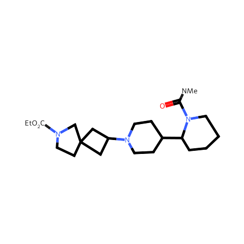 CCOC(=O)N1CCC2(CC(N3CCC(C4CCCCN4C(=O)NC)CC3)C2)C1